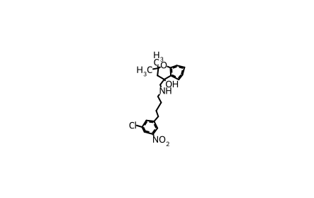 CC1(C)CC(O)(CNCCCCc2cc(Cl)cc([N+](=O)[O-])c2)c2ccccc2O1